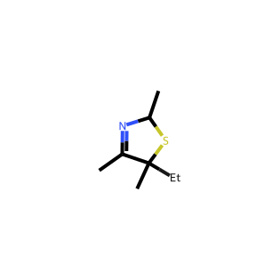 CCC1(C)SC(C)N=C1C